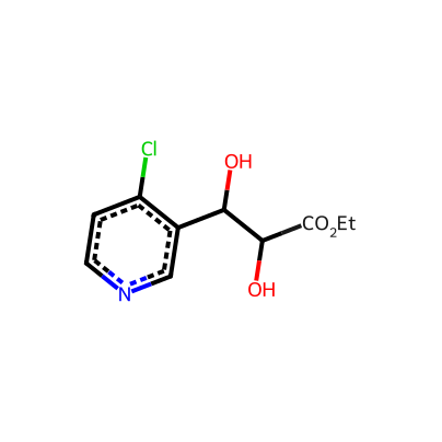 CCOC(=O)C(O)C(O)c1cnccc1Cl